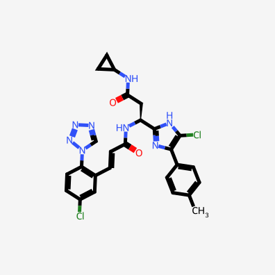 Cc1ccc(-c2nc([C@H](CC(=O)NC3CC3)NC(=O)/C=C/c3cc(Cl)ccc3-n3cnnn3)[nH]c2Cl)cc1